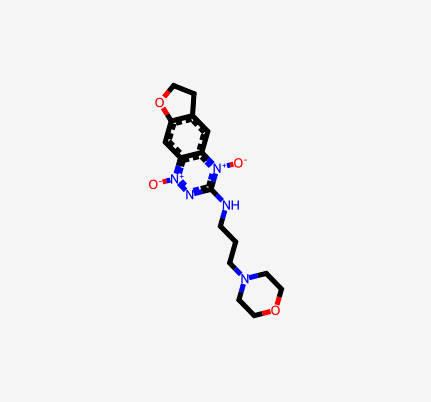 [O-][n+]1nc(NCCCN2CCOCC2)[n+]([O-])c2cc3c(cc21)OCC3